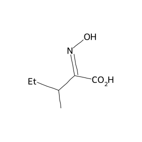 CCC(C)C(=NO)C(=O)O